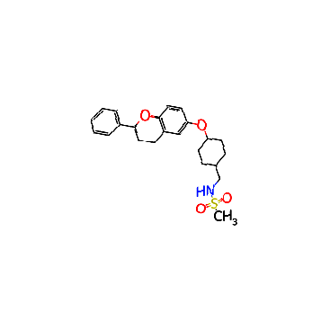 CS(=O)(=O)NCC1CCC(Oc2ccc3c(c2)CCC(c2ccccc2)O3)CC1